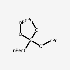 [CH2]CCCC[Si](OCCC)(OCCC)OCCC